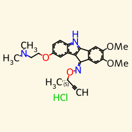 C#C[C@H](C)ON=C1c2cc(OC)c(OC)cc2-c2[nH]c3ccc(OCCN(C)C)cc3c21.Cl